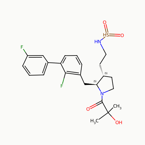 CC(C)(O)C(=O)N1CC[C@@H](CCN[SH](=O)=O)[C@@H]1Cc1cccc(-c2cccc(F)c2)c1F